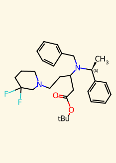 C[C@@H](c1ccccc1)N(Cc1ccccc1)C(CCN1CCCC(F)(F)C1)CC(=O)OC(C)(C)C